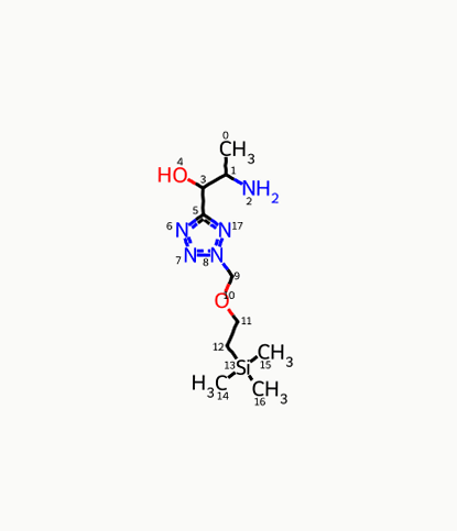 CC(N)C(O)c1nnn(COCC[Si](C)(C)C)n1